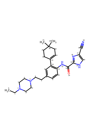 CCN1CCN(CCc2ccc(NC(=O)c3nc(C#N)c[nH]3)c(C3=CCC(C)(C)CC3)c2)CC1